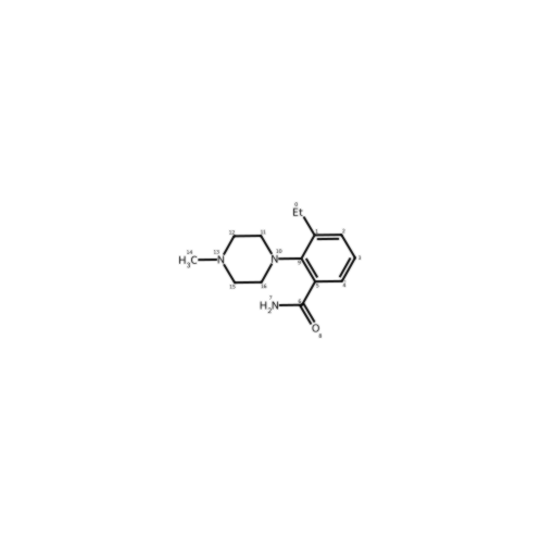 CCc1cc[c]c(C(N)=O)c1N1CCN(C)CC1